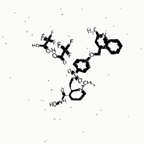 Cc1cc(COc2ccc(S(=O)(=O)C[C@@H]3[C@@H](C(=O)NO)CCCN3C)cc2)c2ccccc2n1.O=C(O)C(F)(F)F.O=C(O)C(F)(F)F